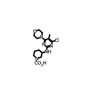 Cc1c(Cl)nc(NC2CCCN(C(=O)O)C2)nc1N1CCOCC1